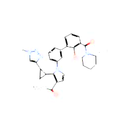 CCC[C@@H]1CCCCN1C(=O)c1cccc(-c2cccc(-n3ccc(C(=O)OC)c3C3CC3c3cn(C)nn3)c2)c1Br